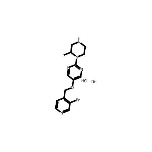 CC1CNCCN1c1ncc(OCc2ccncc2Br)cn1.Cl.Cl